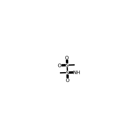 CS(=N)(=O)S(C)(=O)=O